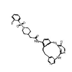 O=C(CC1CCN(S(=O)(=O)c2ccccc2F)CC1)Nc1ccc2cc1CCc1cncc(c1)Nc1ncc(Cl)c(n1)N2